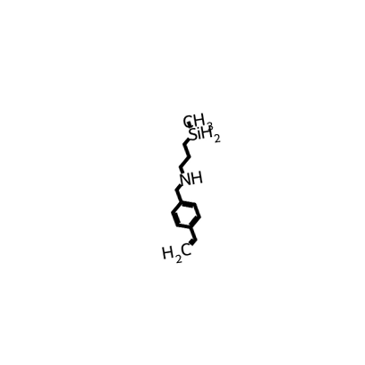 C=Cc1ccc(CNCCC[SiH2]C)cc1